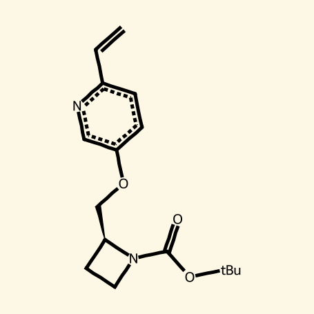 C=Cc1ccc(OC[C@@H]2CCN2C(=O)OC(C)(C)C)cn1